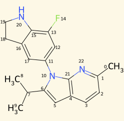 Cc1ccc2cc(C(C)C)n(-c3cc(F)c4c(c3)CCN4)c2n1